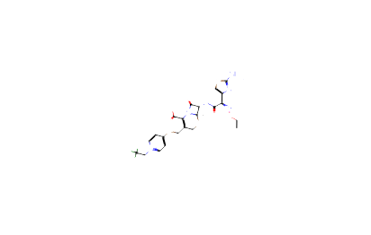 CCO/N=C(\C(=O)N[C@@H]1C(=O)N2C(C(=O)[O-])=C(CSc3cc[n+](CC(F)(F)F)cc3)CS[C@H]12)c1csc(N)n1